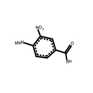 CCCC(=O)c1ccc(NC)c([N+](=O)[O-])c1